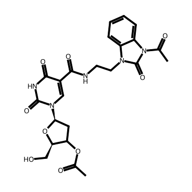 CC(=O)OC1C[C@H](n2cc(C(=O)NCCn3c(=O)n(C(C)=O)c4ccccc43)c(=O)[nH]c2=O)O[C@@H]1CO